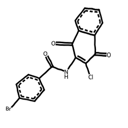 O=C(NC1=C(Cl)C(=O)c2ccccc2C1=O)c1ccc(Br)cc1